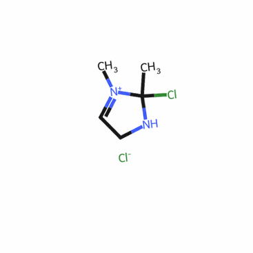 C[N+]1=CCNC1(C)Cl.[Cl-]